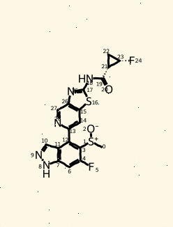 C[S+]([O-])c1c(F)cc2[nH]ncc2c1-c1cc2sc(NC(=O)[C@@H]3C[C@@H]3F)nc2cn1